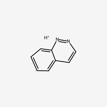 [H+].[c]1ccc2nnccc2c1